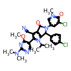 COc1nc(N(C)C)ncc1-c1c(C#N)c2c(n1C(C)C)C(c1ccc(Cl)cc1)N(c1cc(Cl)c(=O)n(C)c1)C2=O